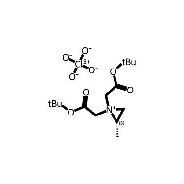 C[C@H]1C[N+]1(CC(=O)OC(C)(C)C)CC(=O)OC(C)(C)C.[O-][Cl+3]([O-])([O-])[O-]